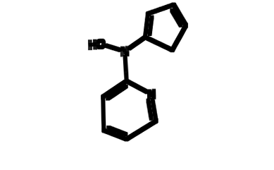 ON(C1=CC=CC1)c1ccccn1